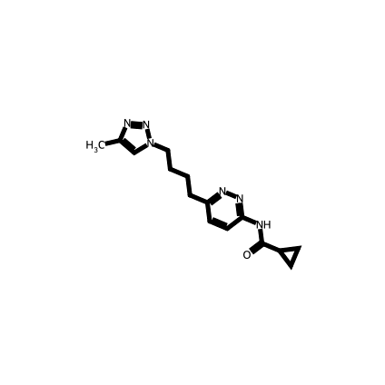 Cc1cn(CCCCc2ccc(NC(=O)C3CC3)nn2)nn1